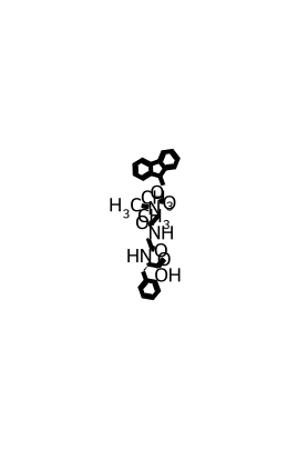 CC(C)(C)N(CC(=O)NCC(=O)N[C@@H](Cc1ccccc1)C(=O)O)C(=O)OCC1c2ccccc2-c2ccccc21